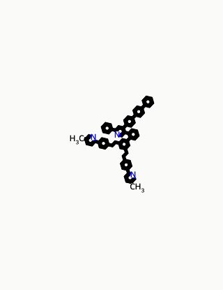 Cc1ccc(-c2ccc(CCc3cc(CCc4ccc(-c5ccc(C)cn5)cc4)cc(-c4ccccc4-c4cnc(-c5ccccc5)cc4-c4ccc(-c5ccc(-c6ccccc6)cc5)cc4)c3)cc2)nc1